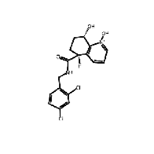 O=C(NCc1ccc(Cl)cc1Cl)[C@]1(F)CC[C@H](O)c2c1ccc[n+]2O